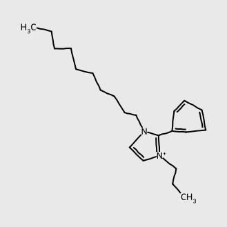 CCCCCCCCCCn1cc[n+](CCC)c1-c1ccccc1